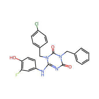 O=c1nc(Nc2ccc(O)c(F)c2)n(Cc2ccc(Cl)cc2)c(=O)n1Cc1ccccc1